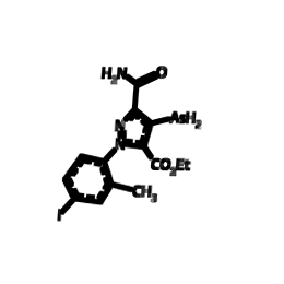 CCOC(=O)c1c([AsH2])c(C(N)=O)nn1-c1ccc(I)cc1C